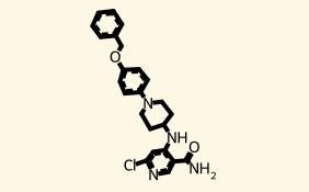 NC(=O)c1cnc(Cl)cc1NC1CCN(c2ccc(OCc3ccccc3)cc2)CC1